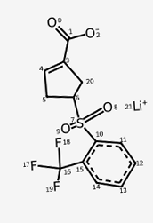 O=C([O-])C1=CCC(S(=O)(=O)c2ccccc2C(F)(F)F)C1.[Li+]